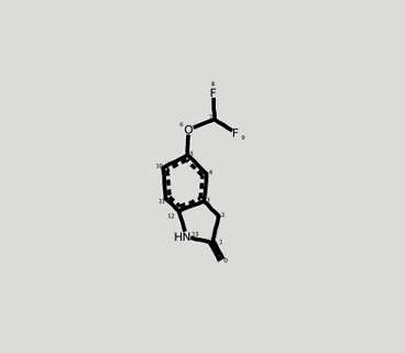 C=C1Cc2cc(OC(F)F)ccc2N1